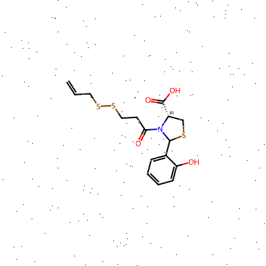 C=CCSSCCC(=O)N1C(c2ccccc2O)SC[C@H]1C(=O)O